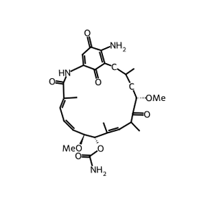 CO[C@H]1CC(C)CC2=C(N)C(=O)C=C(NC(=O)/C(C)=C/C=C\[C@H](OC)[C@@H](OC(N)=O)/C(C)=C/C(C)C1=O)C2=O